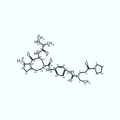 CCN(CCC(=O)N1CCCC1)C(=O)Nc1ccc(NC(=O)N2CCC3CCC(C)N3C(=O)C(NC(=O)C(C)NC)C2)cc1